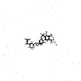 NC(=O)c1cc(-c2ccc(OCC3CN(CC4CC4)CCO3)cc2)c(C(F)(F)F)[nH]c1=O